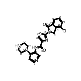 O=C(Nc1cnccc1N1CCNCC1)c1csc(N2Cc3c(Cl)cccc3C2=O)n1